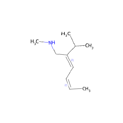 C/C=C\C=C(/CNC)C(C)C